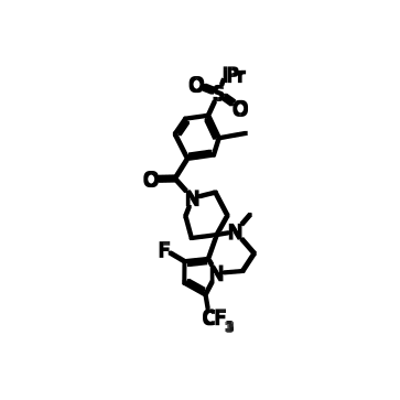 Cc1cc(C(=O)N2CCC3(CC2)c2c(F)cc(C(F)(F)F)n2CCN3C)ccc1S(=O)(=O)C(C)C